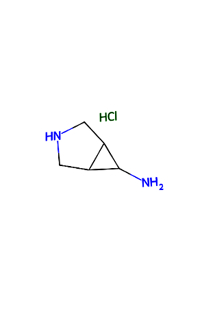 Cl.NC1C2CNCC12